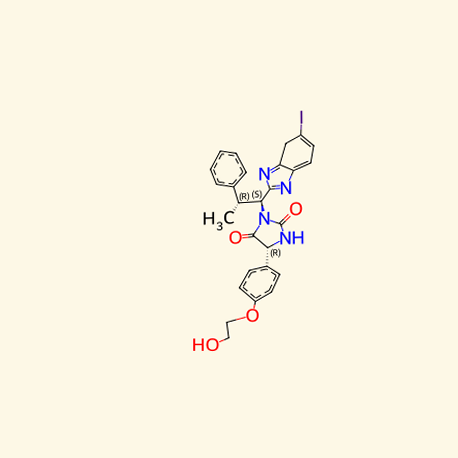 C[C@H](c1ccccc1)[C@@H](C1=NC2=CC=C(I)CC2=N1)N1C(=O)N[C@H](c2ccc(OCCO)cc2)C1=O